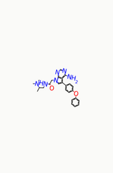 CC(CNC(=O)Cn1cc(-c2ccc(Oc3ccccc3)cc2)c2c(N)ncnc21)N(C)C